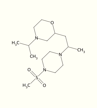 CC(C)N1CCOC(CC(C)N2CCN(S(C)(=O)=O)CC2)C1